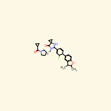 CC1Oc2ccc(C3C=CC(C4NC5(CC5)C(=O)N4C[C@@H]4CCN(C(=O)C5CC5)C4)=CC3F)cc2C1C